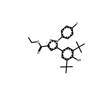 CCOC(=O)c1cc(-c2cc(C(C)(C)C)c(O)c(C(C)(C)C)c2)n(-c2ccc(F)cc2)n1